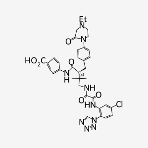 CCN1CCN(c2ccc(C[C@H](C(=O)Nc3ccc(C(=O)O)cc3)C(C)(C)CNC(=O)C(=O)Nc3cc(Cl)ccc3-n3cnnn3)cc2)C(=O)C1